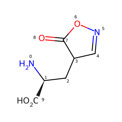 N[C@@H](CC1C=NOC1=O)C(=O)O